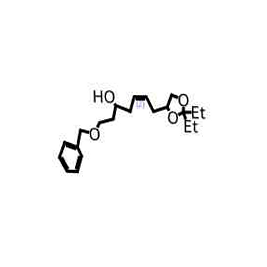 CCC1(CC)OCC(C/C=C\CC(O)CCOCc2ccccc2)O1